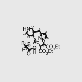 CCOC(=O)CC(C(=O)OCC)n1ccc(C=C2CNCCC2SC(C)=O)n1.O=C(O)C(F)(F)F